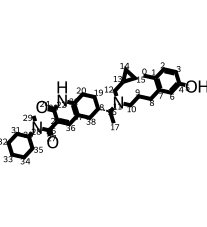 Cc1ccc(O)cc1CCCN(CC1CC1)C(C)[C@H]1CCc2[nH]c(=O)c(C(=O)N(C)C3CCCCC3)cc2C1